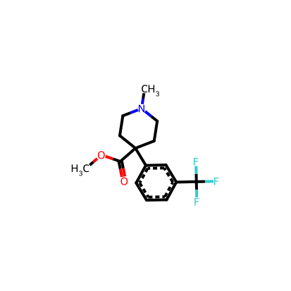 COC(=O)C1(c2cccc(C(F)(F)F)c2)CCN(C)CC1